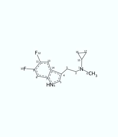 CN(CCc1c[nH]c2cc(F)c(F)cc12)C1CC1